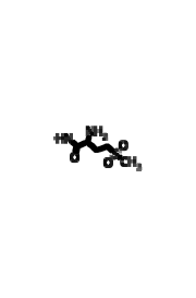 CS(=O)(=O)CCC(N)C([NH])=O